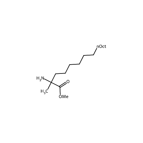 CCCCCCCCCCCCCCC(C)(N)C(=O)OC